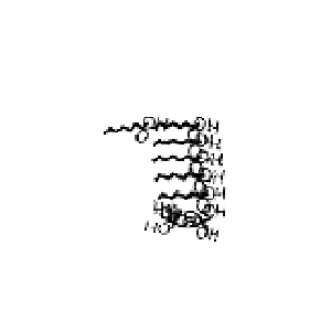 CCCCCCC(=O)O.CCCCCCC(=O)O.CCCCCCC(=O)O.CCCCCCC(=O)O.CCCCCCC(=O)O.CCCCCCC(=O)O.OCC(CO)(CO)COCC(CO)(CO)CO